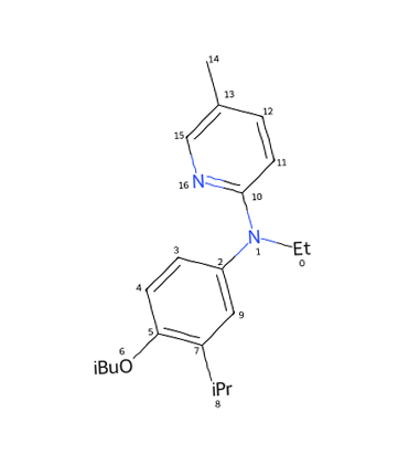 CCN(c1ccc(OCC(C)C)c(C(C)C)c1)c1ccc(C)cn1